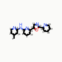 Cc1ccnc(Nc2cccc(-c3cnc(-c4ccccn4)o3)n2)c1